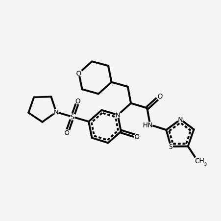 Cc1cnc(NC(=O)C(CC2CCOCC2)n2cc(S(=O)(=O)N3CCCC3)ccc2=O)s1